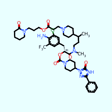 CC(CCN(C)C(=O)[C@@H](Cc1cc(Cl)c(N)c(C(F)(F)F)c1)OC(=O)N1CCC(n2nc(-c3ccccc3)[nH]c2=O)CC1)C1CCN(CCC(=O)OCCCN2CCCCC2=O)CC1